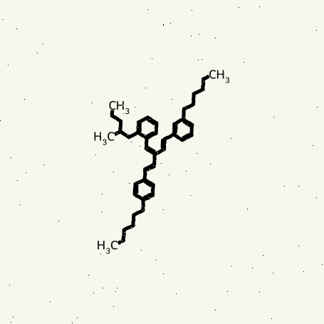 CCCCCCc1ccc(C=CC(C=Cc2cccc(CCCCCC)c2)=Cc2ccccc2CC(C)CCC)cc1